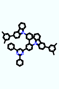 Cc1cc(C)cc(-c2ccc3c(c2)c2ccccc2n3-c2cccc(-c3cc(-c4cc(-c5ccccc5)nc(-c5ccccc5)n4)ccc3-n3c4ccccc4c4cc(-c5cc(C)cc(C)c5)ccc43)c2)c1